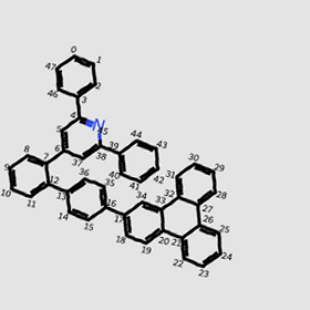 c1ccc(-c2cc(-c3ccccc3-c3ccc(-c4ccc5c6ccccc6c6ccccc6c5c4)cc3)cc(-c3ccccc3)n2)cc1